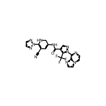 N#CC1=C(n2nccn2)NCC(NC(=O)c2cnn(-c3nccn4ccnc34)c2C(F)(F)F)=C1